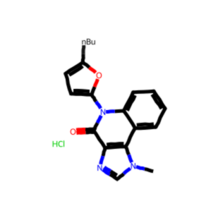 CCCCc1ccc(-n2c(=O)c3ncn(C)c3c3ccccc32)o1.Cl